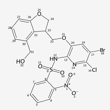 O=[N+]([O-])c1ccccc1S(=O)(=O)Nc1nc(Cl)c(Br)cc1OCC1COc2cccc(CO)c21